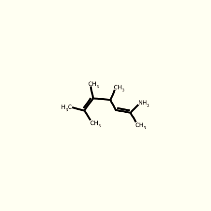 CC(C)=C(C)C(C)/C=C(/C)N